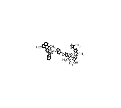 Cc1ncsc1-c1ccc([C@H](C)NC(=O)[C@@H]2C[C@@H](O)CN2C(=O)C(c2cc(OC[C@H]3CC[C@@]4(COc5nc(N6CC7CCC(C6)N7)c6cnc7c(c6n5)C(C)c5cccc6cc(O)cc-7c56)CCCN34)no2)C(C)C)cc1